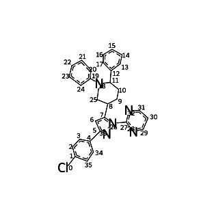 Clc1ccc(-c2cc(C3CCC(c4ccccc4)N(c4ccccc4)C3)n(-c3ncccn3)n2)cc1